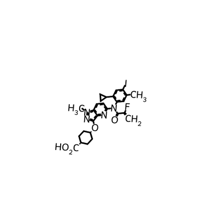 C=C(F)C(=O)N(c1ccc2c(n1)c(O[C@H]1CC[C@H](C(=O)O)CC1)nn2C)c1cc(C)c(I)cc1C1CC1